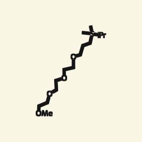 COCCOCCOCCOCCCS(C)(C)C(C)C